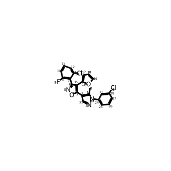 Cc1c(-c2onc(-c3c(F)cccc3Cl)c2-c2ccco2)cnn1-c1cccc(Cl)c1